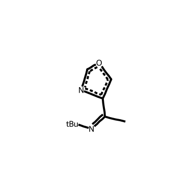 C/C(=N/C(C)(C)C)c1cocn1